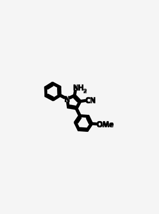 COc1cccc(-c2cn(-c3ccccc3)c(N)c2C#N)c1